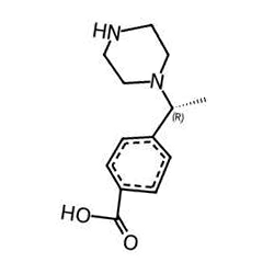 C[C@H](c1ccc(C(=O)O)cc1)N1CCNCC1